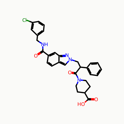 O=C(NCc1cccc(Cl)c1)c1ccc2cn(CC(C(=O)N3CCC(C(=O)O)CC3)c3ccccc3)nc2c1